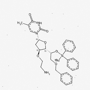 Cc1cn([C@H]2C[C@H](OCCN)[C@@H](C(COCc3ccccc3)O[Si](c3ccccc3)(c3ccccc3)C(C)(C)C)O2)c(=O)[nH]c1=O